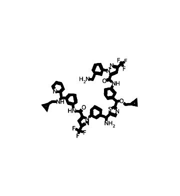 NCc1cccc(-n2nc(C(F)(F)F)cc2C(=O)Nc2cccc(C(OCC3CC3)c3ncc(C(N)c4cccc(-n5nc(C(F)(F)F)cc5C(=O)Nc5cccc(C(NCC6CC6)c6ccccn6)c5)c4)s3)c2)c1